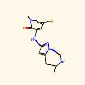 CC1Cc2cc(Nc3cc(Br)cn(C)c3=O)nn2CN1